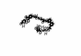 CS(=O)(=O)n1ccc(C(=O)NCC(=O)Nc2nc(-c3cccc(-c4cccc(CNC(=O)CCOCCOCCNc5ccc6c(c5)C(=O)N(C5CCC(=O)NC5=O)C6=O)c4)c3)cs2)c1